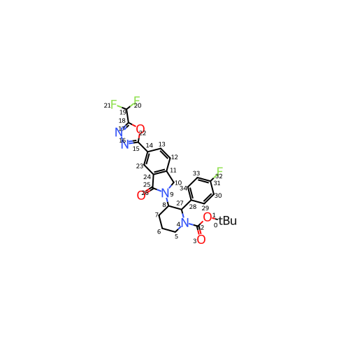 CC(C)(C)OC(=O)N1CCCC(N2Cc3ccc(-c4nnc(C(F)F)o4)cc3C2=O)C1c1ccc(F)cc1